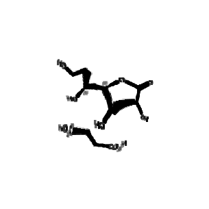 O=C(O)CCC(=O)O.O=C1O[C@H]([C@@H](O)CO)C(O)=C1O